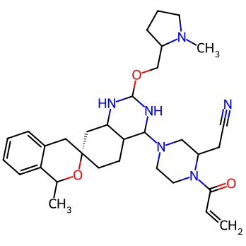 C=CC(=O)N1CCN(C2NC(OCC3CCCN3C)NC3C[C@@]4(CCC32)Cc2ccccc2C(C)O4)CC1CC#N